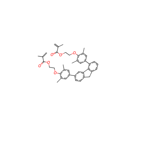 C=C(C)C(=O)OCCOc1c(C)cc(-c2ccc3c(c2)-c2c(cccc2-c2cc(C)c(OCCOC(=O)C(=C)C)c(C)c2)C3)cc1C